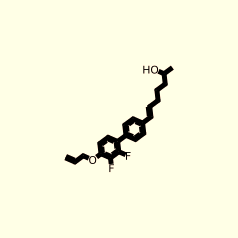 C=CCOc1ccc(-c2ccc(/C=C/CCCC(C)O)cc2)c(F)c1F